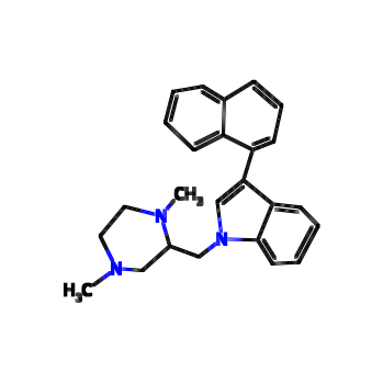 CN1CCN(C)C(Cn2cc(-c3cccc4ccccc34)c3ccccc32)C1